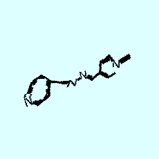 C=N\C=C/C(/C=N/N=C/c1ccncc1)=C\C